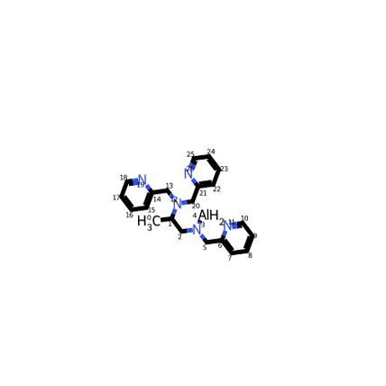 CC(C[N]([AlH2])Cc1ccccn1)N(Cc1ccccn1)Cc1ccccn1